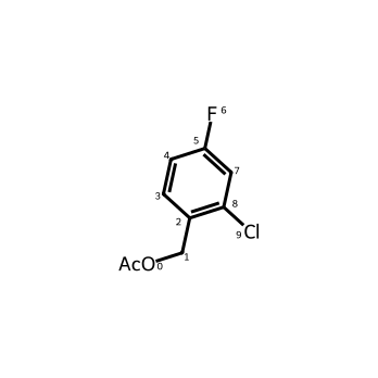 CC(=O)OCc1ccc(F)cc1Cl